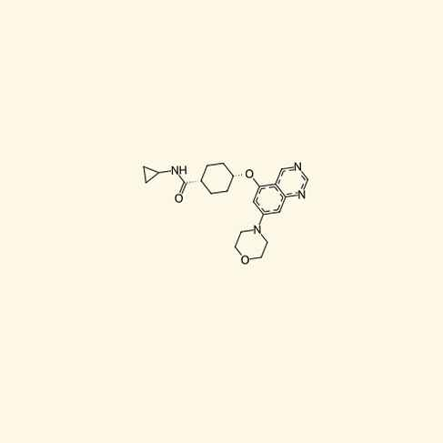 O=C(NC1CC1)[C@H]1CC[C@@H](Oc2cc(N3CCOCC3)cc3ncncc23)CC1